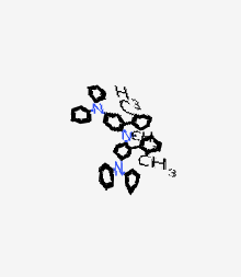 Cc1ccccc1-c1cc(N(c2ccccc2)c2ccccc2)ccc1N(C)c1ccc(N(c2ccccc2)c2ccccc2)cc1-c1ccccc1C